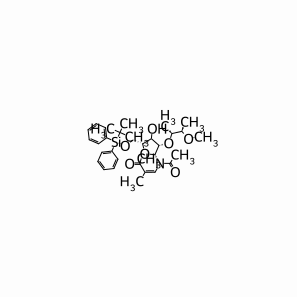 CO[C@H](C)[C@H](C)O[C@H]1C(O)[C@@H](CO[Si](c2ccccc2)(c2ccccc2)C(C)(C)C)O[C@H]1N(/C=C(/C)C(C)=O)C(C)=O